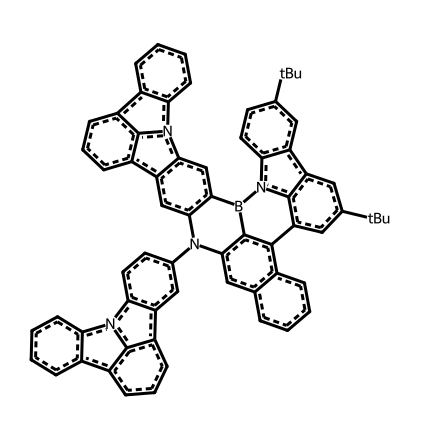 CC(C)(C)c1ccc2c(c1)c1cc(C(C)(C)C)cc3c1n2B1c2cc4c(cc2N(c2ccc5c(c2)c2cccc6c7ccccc7n5c62)c2cc5ccccc5c-3c21)c1cccc2c3ccccc3n4c21